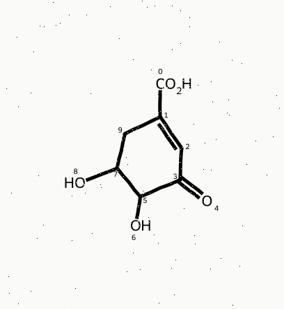 O=C(O)C1=CC(=O)C(O)C(O)C1